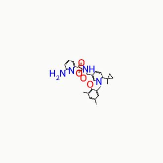 Cc1cc(C)c(Oc2nc(C3(C)CC3)ccc2C(=O)NS(=O)(=O)c2cccc(N)n2)c(C)c1